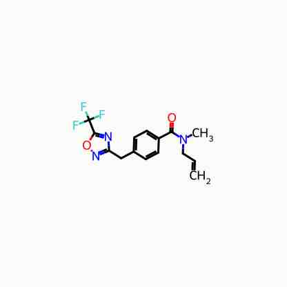 C=CCN(C)C(=O)c1ccc(Cc2noc(C(F)(F)F)n2)cc1